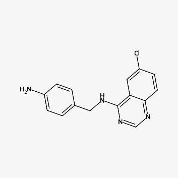 Nc1ccc(CNc2ncnc3ccc(Cl)cc23)cc1